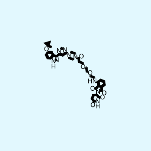 CC1(Oc2ccc3[nH]nc(-c4cc(N5CCN(C(=O)CCOCCOCCNc6cccc7c6C(=O)N(C6CCC(=O)NC6=O)C7=O)CC5)ncn4)c3c2)CC1